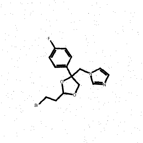 Fc1ccc(C2(Cn3ccnc3)COC(CCBr)O2)cc1